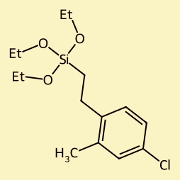 CCO[Si](CCc1ccc(Cl)cc1C)(OCC)OCC